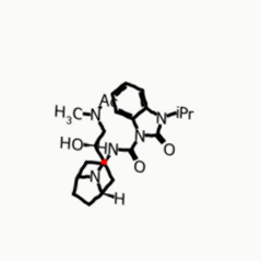 CC(=O)N(C)C[C@H](O)CN1C2CC[C@H]1C[C@H](NC(=O)n1c(=O)n(C(C)C)c3ccccc31)C2